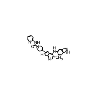 C[C@@H]1CN=c2[nH]c(C3=CCN(C(=O)Nc4ccccn4)CC3)cc2=C1Nc1ccc2[nH]ncc2c1